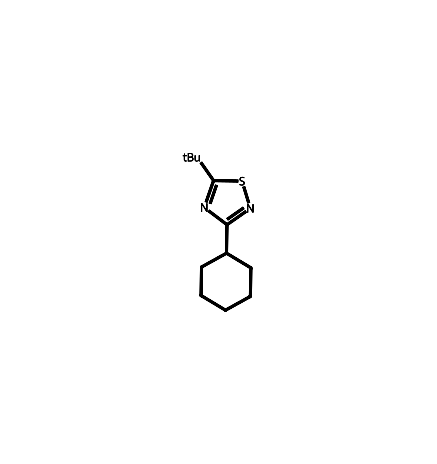 CC(C)(C)c1nc(C2CCCCC2)ns1